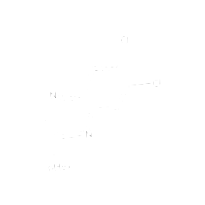 CCCCCCc1cnc2cc(Cl)c(Cl)cc2n1